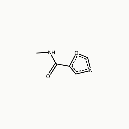 CNC(=O)c1cnco1